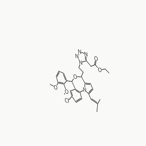 CCOC(=O)Cc1nnnn1CCC1OC(c2cccc(OC)c2OC)c2cc(Cl)ccc2-n2c(C=C(C)C)ccc21